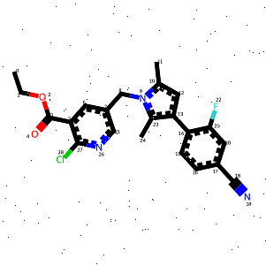 CCOC(=O)c1cc(Cn2c(C)cc(-c3ccc(C#N)cc3F)c2C)cnc1Cl